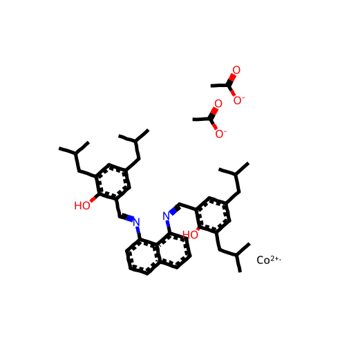 CC(=O)[O-].CC(=O)[O-].CC(C)Cc1cc(C=Nc2cccc3cccc(N=Cc4cc(CC(C)C)cc(CC(C)C)c4O)c23)c(O)c(CC(C)C)c1.[Co+2]